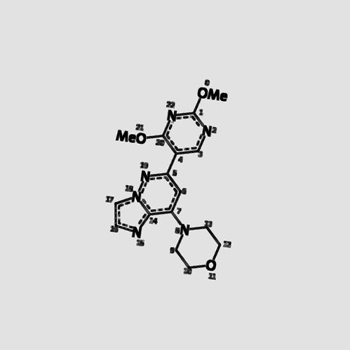 COc1ncc(-c2cc(N3CCOCC3)c3nccn3n2)c(OC)n1